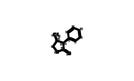 C[C@@H]1COS(=O)[C@@H]1c1ccccc1